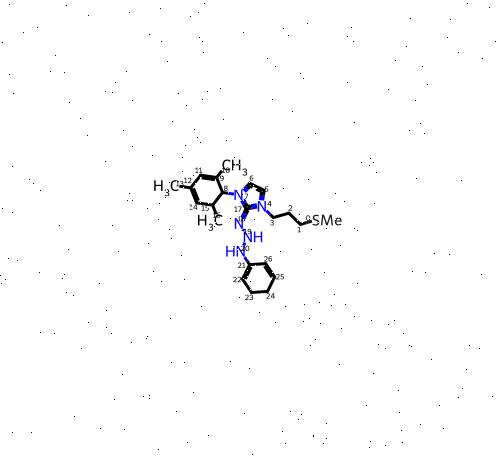 CSCCCn1ccn(C2C(C)=CC(C)=CC2C)/c1=N/NNC1=CCCC=C1